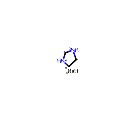 C1CNCN1.[NaH]